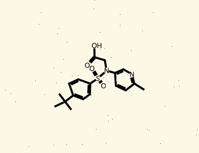 Cc1ccc(N(CC(=O)O)S(=O)(=O)c2ccc(C(C)(C)C)cc2)cn1